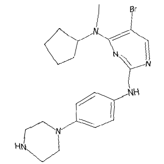 CN(c1nc(Nc2ccc(N3CCNCC3)cc2)ncc1Br)C1CCCC1